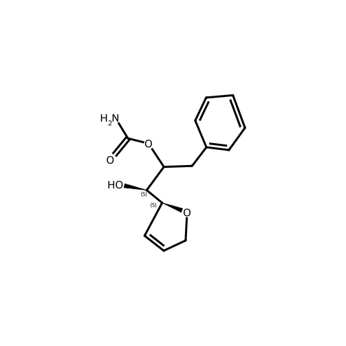 NC(=O)OC(Cc1ccccc1)[C@H](O)[C@@H]1C=CCO1